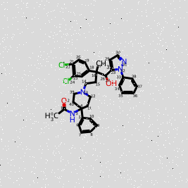 CC(=O)NC1(c2ccccc2)CCN(CCC(C)(c2ccc(Cl)c(Cl)c2)C(O)c2ccnn2-c2ccccc2)CC1